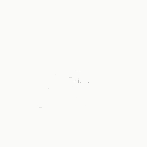 CCCCC(O)c1ccccc1C(=O)OC12CC3CC(C1)C(N)C(C3)C2